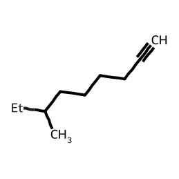 C#CCCCCC(C)CC